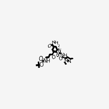 CCn1nc(C)cc1C(=O)Nc1nc2cc(C(N)=O)cc(C(=O)CCCNC(=O)OC(C)(C)C)c2n1C